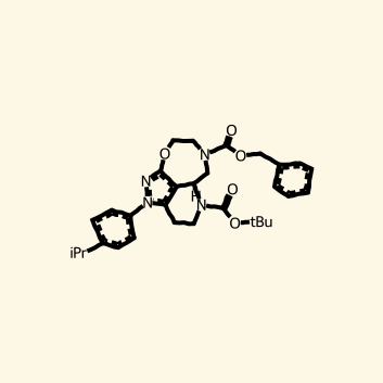 CC(C)c1ccc(-n2nc3c4c2CCN(C(=O)OC(C)(C)C)[C@H]4CN(C(=O)OCc2ccccc2)CCO3)cc1